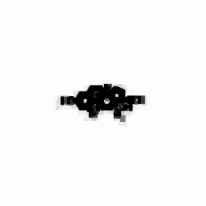 C#C[C@]1(O)CC[C@H]2[C@@H]3CCc4cc(O)cc(Br)c4[C@H]3CC[C@@]21C